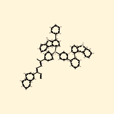 C=C/C(=C\C=C(/C)c1ccc(N(c2ccc(-c3ccccc3-c3cccc4oc5ccccc5c34)cc2)c2ccc(-c3ccccc3)c3oc4ccccc4c23)cc1)c1ccc2ccccc2c1